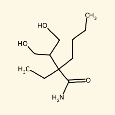 CCCCC(CC)(C(N)=O)C(CO)CO